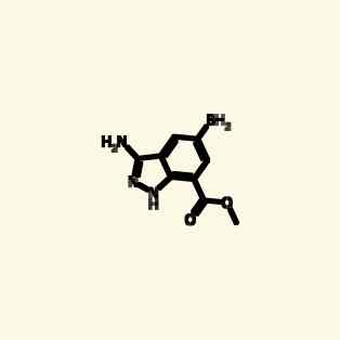 Bc1cc(C(=O)OC)c2[nH]nc(N)c2c1